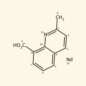 Cc1ccc2cccc(C(=O)O)c2n1.[Nd]